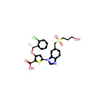 C[C@@H](Oc1cc(-n2cnc3ccc(CS(=O)(=O)CCCO)cc32)sc1C(=O)O)c1ccccc1Cl